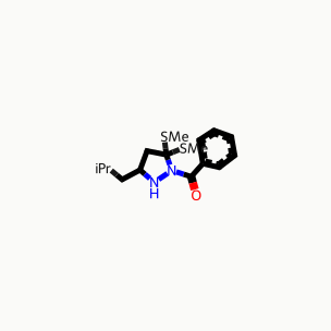 CSC1(SC)CC(CC(C)C)NN1C(=O)c1ccccc1